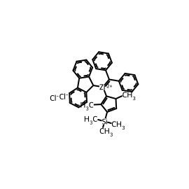 CC1=[C]([Zr+2](=[C](c2ccccc2)c2ccccc2)[CH]2c3ccccc3-c3ccccc32)C(C)C=C1[Si](C)(C)C.[Cl-].[Cl-]